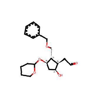 O=CC[C@@H]1[C@@H](COCc2ccccc2)[C@H](OC2CCCCO2)C[C@@H]1O